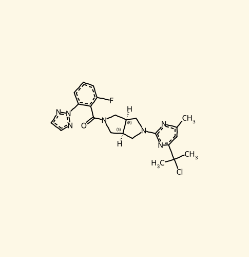 Cc1cc(C(C)(C)Cl)nc(N2C[C@H]3CN(C(=O)c4c(F)cccc4-n4nccn4)C[C@H]3C2)n1